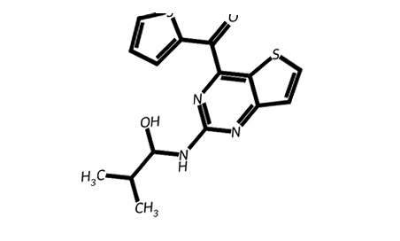 CC(C)C(O)Nc1nc(C(=O)c2cccs2)c2sccc2n1